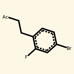 CC(=O)CCc1ccc(Br)cc1F